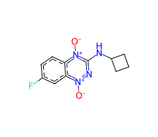 [O-][n+]1nc(NC2CCC2)[n+]([O-])c2ccc(F)cc21